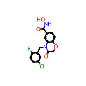 O=C(NO)c1ccc2c(c1)N(Cc1cc(Cl)ccc1F)C(=O)CO2